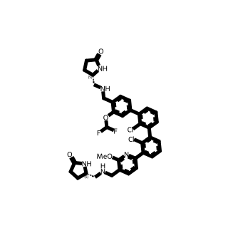 COc1nc(-c2cccc(-c3cccc(-c4ccc(CNC[C@@H]5CCC(=O)N5)c(OC(F)F)c4)c3Cl)c2Cl)ccc1CNC[C@@H]1CCC(=O)N1